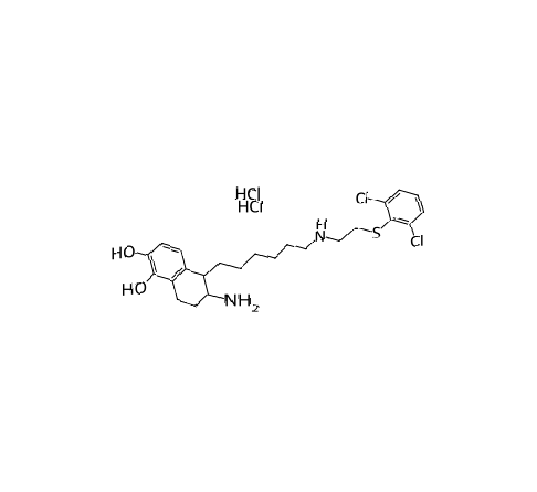 Cl.Cl.NC1CCc2c(ccc(O)c2O)C1CCCCCCNCCSc1c(Cl)cccc1Cl